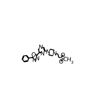 CS(=O)(=O)CCN1CCN(c2cncc(-c3nnc(-c4ccccc4)o3)n2)CC1